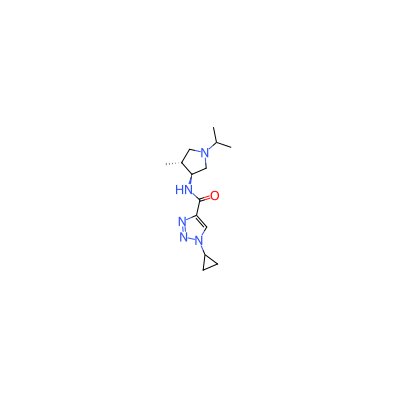 CC(C)N1C[C@@H](C)[C@H](NC(=O)c2cn(C3CC3)nn2)C1